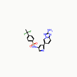 CC(F)(F)c1ccc(S(=O)(=O)Nc2cncc(-c3ccc4nc(N)nn4c3)c2)cc1